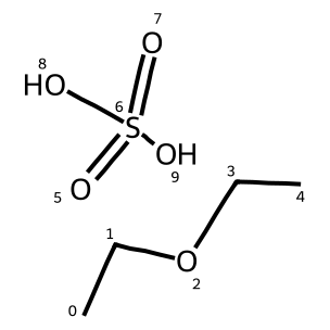 CCOCC.O=S(=O)(O)O